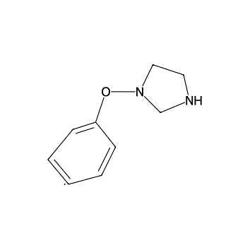 [c]1ccc(ON2CCNC2)cc1